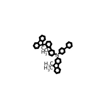 CC1(C)c2ccccc2-c2ccc(N(c3ccc(-c4ccccc4)cc3)c3ccc4oc5c(C6(C)c7ccccc7-c7ccccc76)cccc5c4c3)cc21